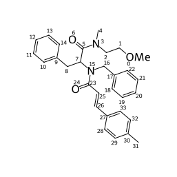 COCCN(C)C(=O)C(Cc1ccccc1)N(Cc1ccccc1)C(=O)C=Cc1ccc(C)cc1